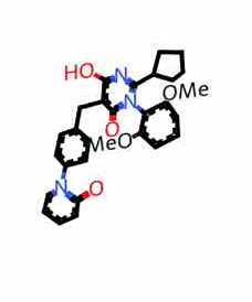 COc1cccc(OC)c1-n1c(C2CCCC2)nc(O)c(Cc2ccc(-n3ccccc3=O)cc2)c1=O